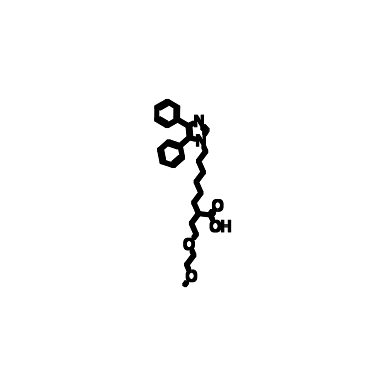 COCCOCCC(CCCCCCn1cnc(-c2ccccc2)c1-c1ccccc1)C(=O)O